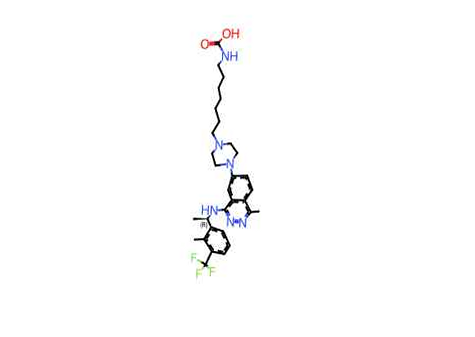 Cc1c([C@@H](C)Nc2nnc(C)c3ccc(N4CCN(CCCCCCCNC(=O)O)CC4)cc23)cccc1C(F)(F)F